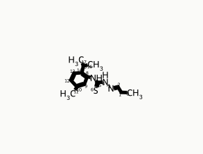 CC/C=N/NC(=S)Nc1cc(C)ccc1C(C)C